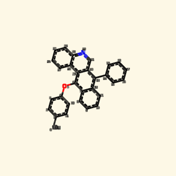 CC(C)(C)c1ccc(Oc2c3ccccc3c(-c3ccccc3)c3cnc4ccccc4c23)cc1